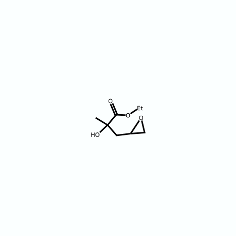 CCOC(=O)C(C)(O)CC1CO1